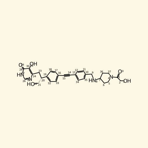 O=C(CO)N1CCC(NCc2ccc(C#Cc3ccc([C@H](CO)Cc4nc[nH]c(=O)c4O)cc3)cc2)CC1